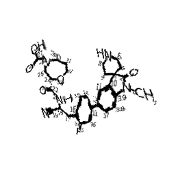 CN1C(=O)C2(CCNCC2)c2cc(-c3ccc(CC(C#N)NC(=O)[C@@H]4CN(C(=O)O)CCCO4)c(F)c3)ccc21